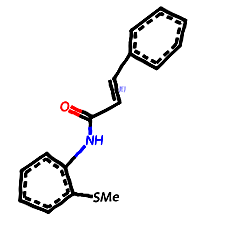 CSc1ccccc1NC(=O)/C=C/c1ccccc1